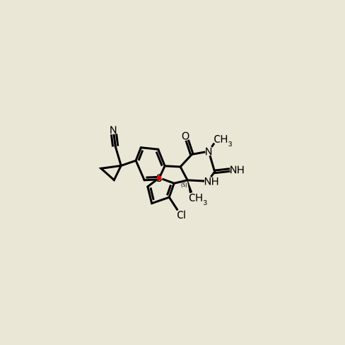 CN1C(=N)N[C@](C)(c2sccc2Cl)C(c2ccc(C3(C#N)CC3)cc2)C1=O